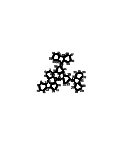 c1cc2c3c(c1)-n1c4ccccc4c4cccc(c41)B3n1c3ccc(-n4c5ccccc5c5ccccc54)cc3c3cc(-n4c5ccccc5c5ccccc54)cc-2c31